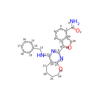 NC(=O)c1cccc2c(-c3nc(NCc4ccccc4)c4c(n3)OCCCC4)occ12